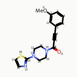 COc1cccc(C#CC(=O)N2CCN(c3nccs3)CC2)c1